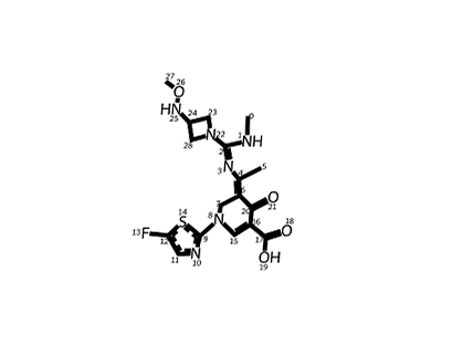 CN/C(=N\C(C)=C1/CN(c2ncc(F)s2)C=C(C(=O)O)C1=O)N1CC(NOC)C1